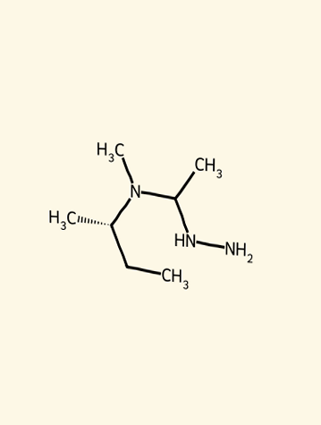 CC[C@H](C)N(C)C(C)NN